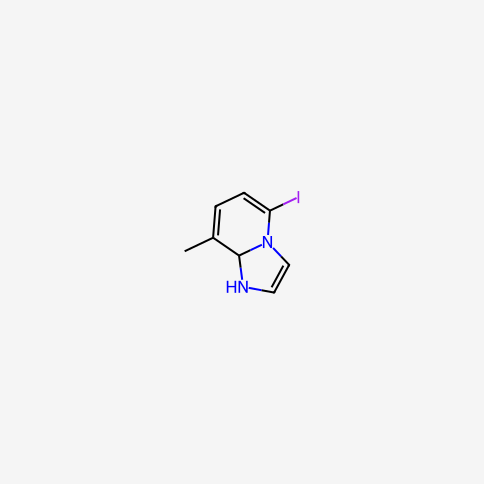 CC1=CC=C(I)N2C=CNC12